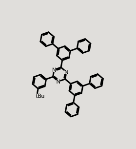 CC(C)(C)c1cccc(-c2nc(-c3cc(-c4ccccc4)cc(-c4ccccc4)c3)nc(-c3cc(-c4ccccc4)cc(-c4ccccc4)c3)n2)c1